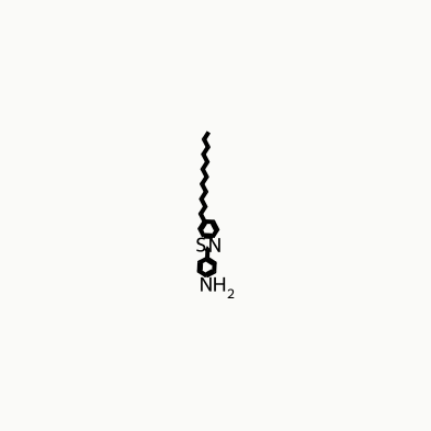 CCCCCCCCCCCCc1ccc2nc(-c3ccc(N)cc3)sc2c1